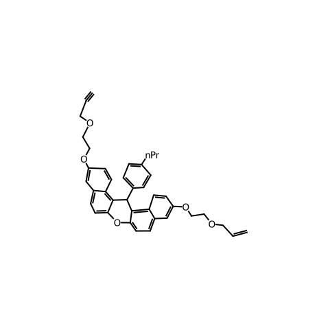 C#CCOCCOc1ccc2c3c(ccc2c1)Oc1ccc2cc(OCCOCC=C)ccc2c1C3c1ccc(CCC)cc1